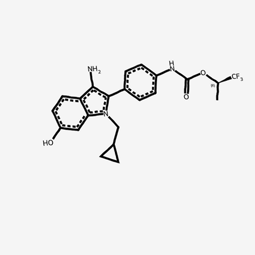 C[C@@H](OC(=O)Nc1ccc(-c2c(N)c3ccc(O)cc3n2CC2CC2)cc1)C(F)(F)F